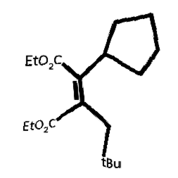 CCOC(=O)C(CC(C)(C)C)=C(C(=O)OCC)C1CCCC1